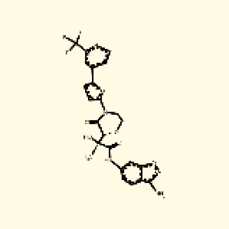 C[C@](O)(C(=O)Nc1ccc2c(N)noc2c1)[C@H]1OCCN(c2ccc(-c3ccnc(C(F)(F)F)c3)o2)C1=O